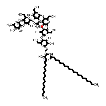 CCCCCCCCCCCCC/C=C/[C@@H](O)[C@H](CO[C@@H]1OC(CO)[C@@H](O[C@@H]2OC(CO)[C@H](O[C@@H]3OC(CO)[C@H](O[C@@H]4OC(CO)[C@H](O)[C@H](O[C@@H]5OC(CO)[C@H](O)[C@H](O[C@H]6C(O)[C@H](O)C(C)O[C@H]6O)C5O)C4NC(C)=O)[C@H](O)C3O)[C@H](O)C2O)[C@H](O)C1O)NC(=O)CCCCCCCCCCCCCCCCCCC